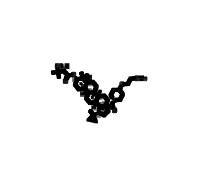 COCCOC1CCN(C(=O)[C@]23CC[C@@H](C4(C)CC4)[C@@H]2[C@H]2CC[C@@H]4[C@@]5(C)CC[C@H](OC(=O)CC(C)(C)C(=O)O)C(C)(C)[C@@H]5CC[C@@]4(C)[C@]2(C)CC3)CC1